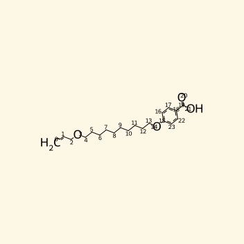 C=CCOCCCCCCCCCCOc1ccc(C(=O)O)cc1